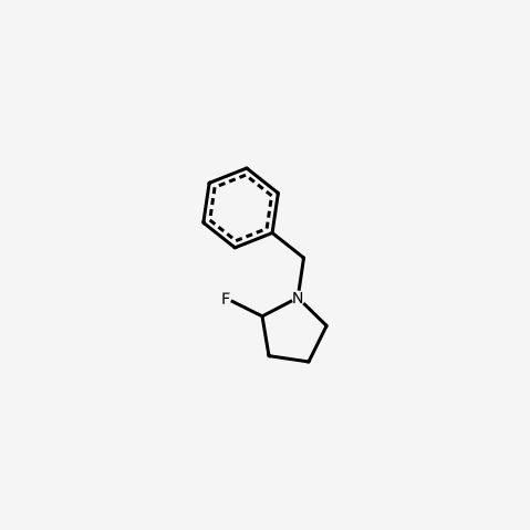 FC1CCCN1Cc1ccccc1